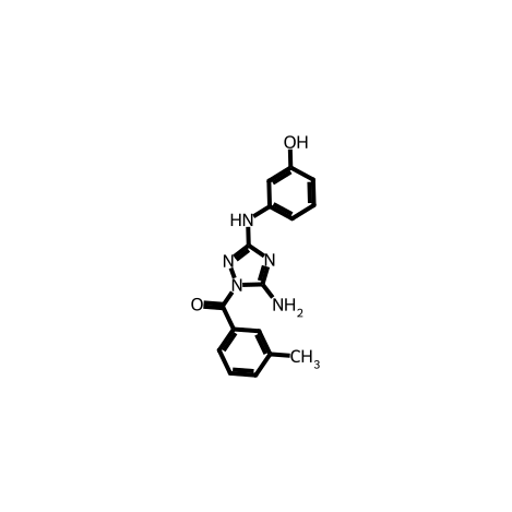 Cc1cccc(C(=O)n2nc(Nc3cccc(O)c3)nc2N)c1